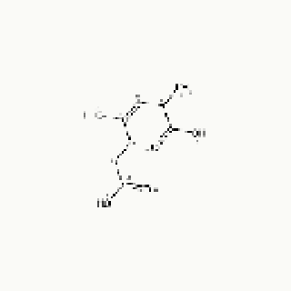 CC(=CC(C)C(=O)O)CCC(=O)O